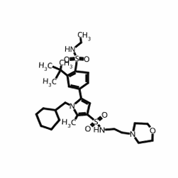 CCNS(=O)(=O)c1ccc(-c2cc(S(=O)(=O)NCCN3CCOCC3)c(C)n2CC2CCCCC2)cc1C(C)(C)C